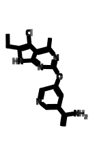 C=C(N)c1cncc(Oc2nc(C)c3c(Cl)c(CC)[nH]c3n2)c1